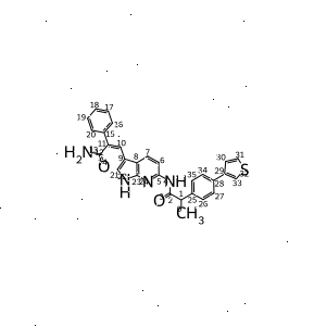 CC(C(=O)Nc1ccc2c(C=C(C(N)=O)c3ccccc3)c[nH]c2n1)c1ccc(-c2ccsc2)cc1